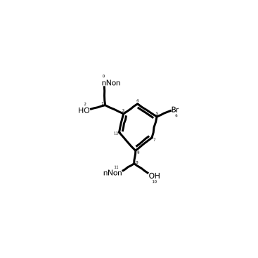 CCCCCCCCCC(O)c1cc(Br)cc(C(O)CCCCCCCCC)c1